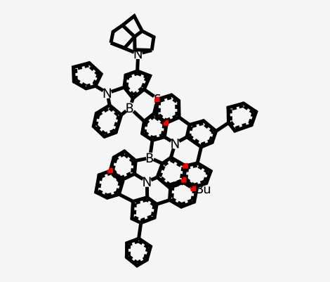 CC(C)(C)c1cc2c3c(c1)N(c1c(-c4ccccc4)cc(-c4ccccc4)cc1-c1ccccc1)c1cc4c(cc1B3c1ccccc1N2c1c(-c2ccccc2)cc(-c2ccccc2)cc1-c1ccccc1)B1c2ccccc2N(c2ccccc2)c2cc(N3C5CC6CC7CC3CC67C5)cc(c21)S4